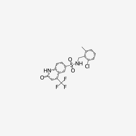 Cc1cccc(Cl)c1CNS(=O)(=O)c1ccc2[nH]c(=O)cc(C(F)(F)F)c2c1